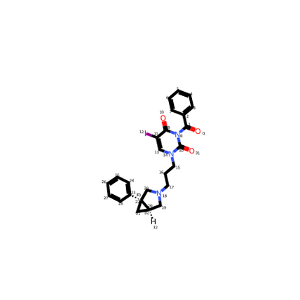 O=C(c1ccccc1)n1c(=O)c(I)cn(CCCN2C[C@H]3C[C@@]3(c3ccccc3)C2)c1=O